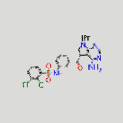 CC(C)n1cc(C(=O)c2cccc(NS(=O)(=O)c3cccc(Cl)c3Cl)c2)c2c(N)ncnc21